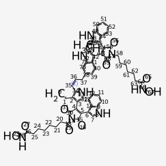 C=Cc1c(C2=C(c3c[nH]c4ccccc34)C(=O)N(C(=O)CCCCCCC(=O)NO)C2=O)c[nH]c1/C=C\Cc1ccc2c(C3=C(c4c(C)[nH]c5ccccc45)C(=O)N(CCCCCCC(=O)NO)C3=O)c(C)[nH]c2c1